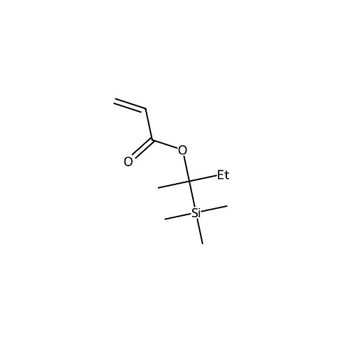 [CH2]CC(C)(OC(=O)C=C)[Si](C)(C)C